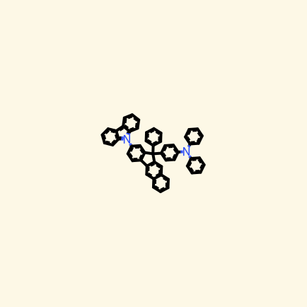 c1ccc(N(c2ccccc2)c2ccc(C3(c4ccccc4)c4cc(-n5c6ccccc6c6ccccc65)ccc4-c4cc5ccccc5cc43)cc2)cc1